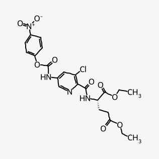 CCOC(=O)CC[C@H](NC(=O)c1ncc(NC(=O)Oc2ccc([N+](=O)[O-])cc2)cc1Cl)C(=O)OCC